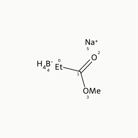 CCC(=O)OC.[BH4-].[Na+]